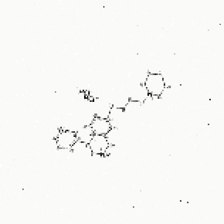 Cl.Cl.c1cncc(C2CNCc3cc(CCCCN4CCCCC4)ccc32)c1